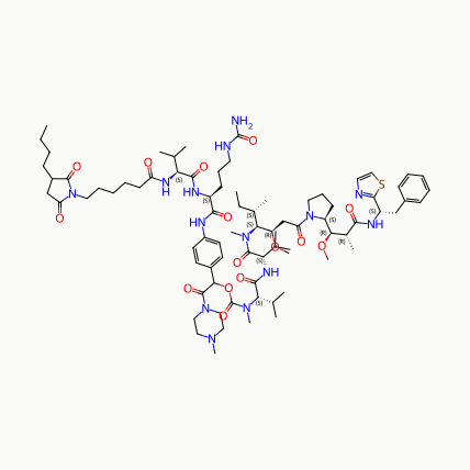 CCCCC1CC(=O)N(CCCCCC(=O)N[C@H](C(=O)N[C@@H](CCCNC(N)=O)C(=O)Nc2ccc(C(OC(=O)N(C)[C@H](C(=O)N[C@H](C(=O)N(C)[C@@H]([C@@H](C)CC)[C@@H](CC(=O)N3CCC[C@H]3[C@H](OC)[C@@H](C)C(=O)N[C@@H](Cc3ccccc3)c3nccs3)OC)C(C)C)C(C)C)C(=O)N3CCN(C)CC3)cc2)C(C)C)C1=O